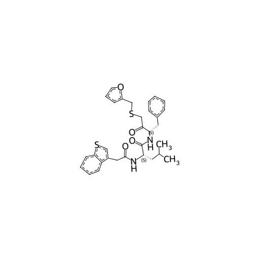 CC(C)C[C@H](NC(=O)Cc1csc2ccccc12)C(=O)N[C@@H](Cc1ccccc1)C(=O)CSCc1ccco1